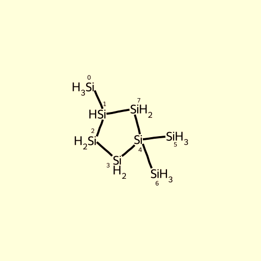 [SiH3][SiH]1[SiH2][SiH2][Si]([SiH3])([SiH3])[SiH2]1